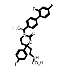 C[C@@H](c1ccc(-c2ccc(F)cc2F)cc1)N1CCC(CCNC(=O)O)(c2ccc(F)cc2)OC1=O